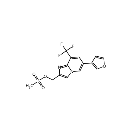 CS(=O)(=O)OCc1cn2cc(-c3ccoc3)cc(C(F)(F)F)c2n1